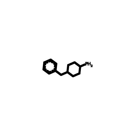 PC1CCC(Cc2ccccc2)CC1